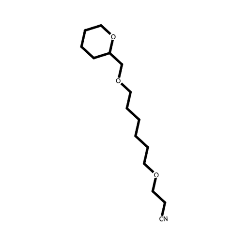 N#CCCOCCCCCCOCC1CCCCO1